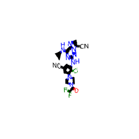 N#Cc1cc(Nc2nc(NC3CC3)c3ncc(C#N)n3n2)c(Cl)c(N2CCN(C(=O)C(F)F)CC2)c1